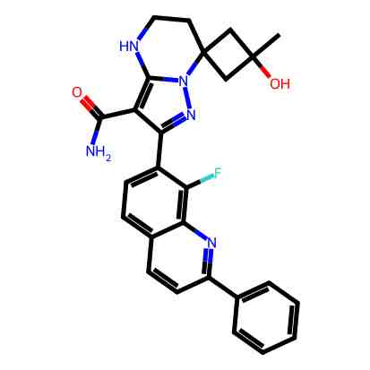 CC1(O)CC2(CCNc3c(C(N)=O)c(-c4ccc5ccc(-c6ccccc6)nc5c4F)nn32)C1